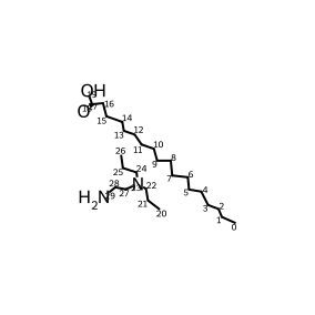 CCCCCCCCCCCCCCCCCC(=O)O.CCCN(CCC)CCN